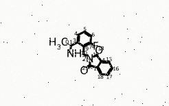 C[C@@H](N)c1cccc(F)c1CN1C(=O)c2ccccc2C1=O